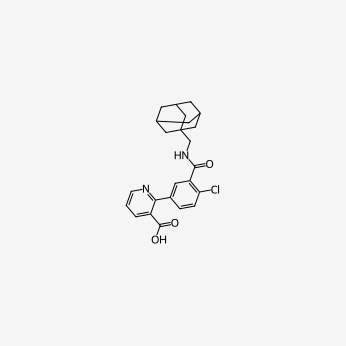 O=C(NCC12CC3CC(CC(C3)C1)C2)c1cc(-c2ncccc2C(=O)O)ccc1Cl